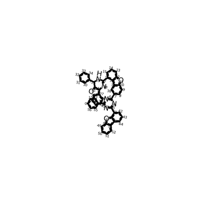 c1ccc(-c2nc(-c3ccc4oc5cccc(C6=Nc7c(oc8ccccc78)C(c7ccccc7)N6)c5c4c3)nc(-c3cccc4c3oc3ccccc34)n2)cc1